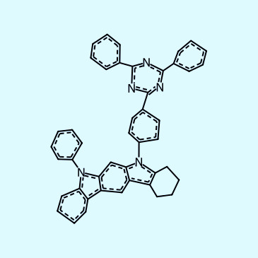 c1ccc(-c2nc(-c3ccccc3)nc(-c3ccc(-n4c5c(c6cc7c8ccccc8n(-c8ccccc8)c7cc64)CCCC5)cc3)n2)cc1